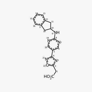 O=C(O)Cc1nc(-c2cnc(NC3Cc4ccccc4C3)nc2)no1